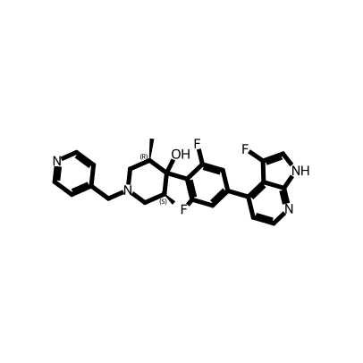 C[C@@H]1CN(Cc2ccncc2)C[C@H](C)C1(O)c1c(F)cc(-c2ccnc3[nH]cc(F)c23)cc1F